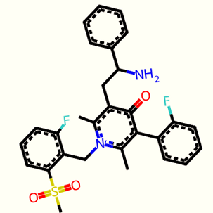 Cc1c(CC(N)c2ccccc2)c(=O)c(-c2ccccc2F)c(C)n1Cc1c(F)cccc1S(C)(=O)=O